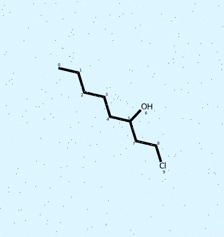 CCCCCC(O)CCCl